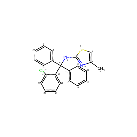 Cc1csc(NC(c2ccccc2)(c2ccccc2)c2ccccc2Cl)n1